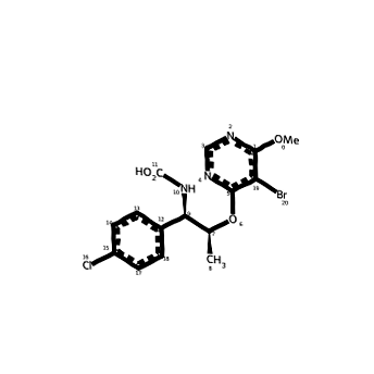 COc1ncnc(O[C@@H](C)[C@H](NC(=O)O)c2ccc(Cl)cc2)c1Br